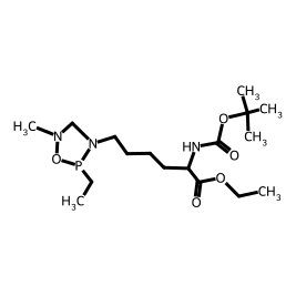 CCOC(=O)C(CCCCN1CN(C)OP1CC)NC(=O)OC(C)(C)C